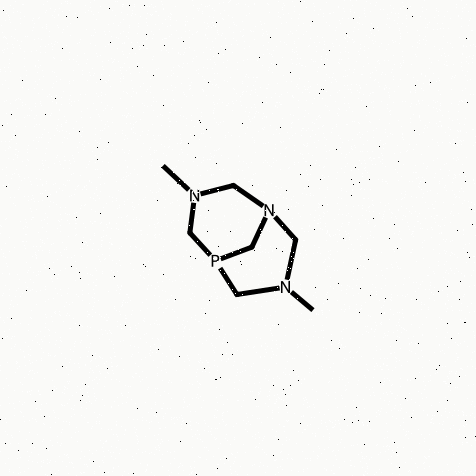 CN1CN2CN(C)CP(C1)C2